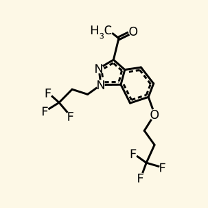 CC(=O)c1nn(CCC(F)(F)F)c2cc(OCCC(F)(F)F)ccc12